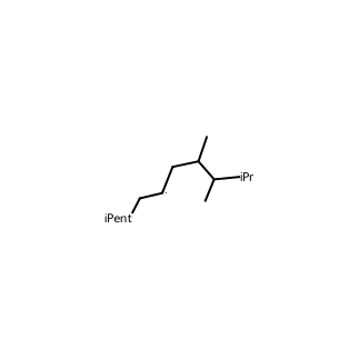 CCCC(C)C[CH]CC(C)C(C)C(C)C